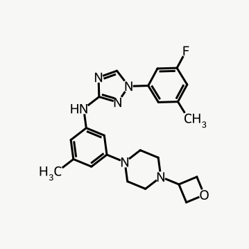 Cc1cc(Nc2ncn(-c3cc(C)cc(F)c3)n2)cc(N2CCN(C3COC3)CC2)c1